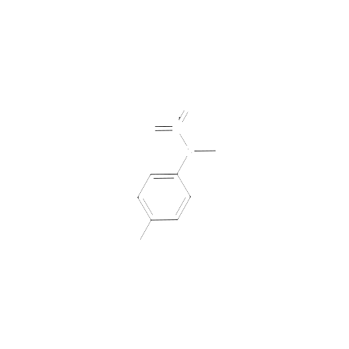 CN(c1ccc(Br)cc1)[SH](=O)=O